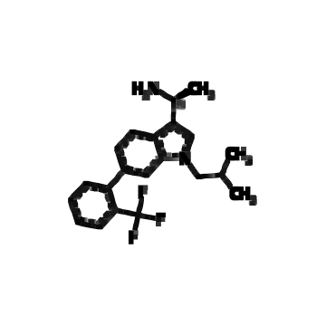 CC(C)Cn1cc([C@H](C)N)c2ccc(-c3ccccc3C(F)(F)F)cc21